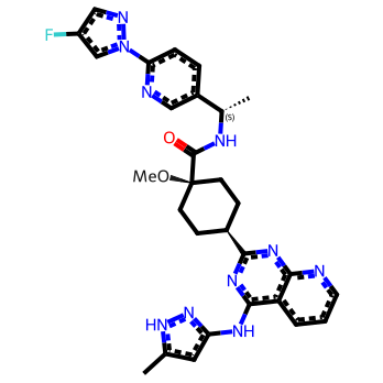 CO[C@]1(C(=O)N[C@@H](C)c2ccc(-n3cc(F)cn3)nc2)CC[C@H](c2nc(Nc3cc(C)[nH]n3)c3cccnc3n2)CC1